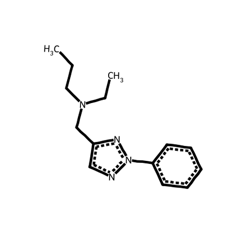 CCCN(CC)Cc1cnn(-c2ccccc2)n1